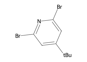 CC(C)(C)c1cc(Br)nc(Br)c1